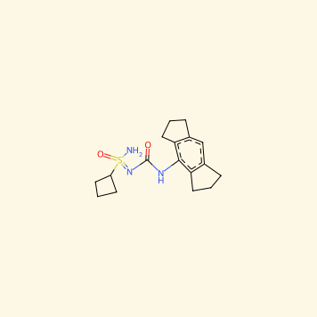 NS(=O)(=NC(=O)Nc1c2c(cc3c1CCC3)CCC2)C1CCC1